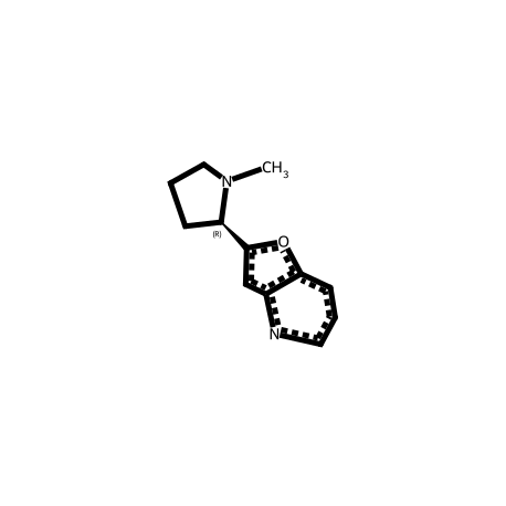 CN1CCC[C@@H]1c1cc2ncccc2o1